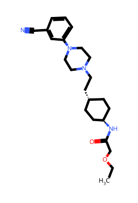 CCOCC(=O)N[C@H]1CC[C@H](CCN2CCN(c3cccc(C#N)c3)CC2)CC1